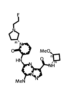 CNc1cc(Nc2cccn([C@@H]3CCN(CCF)C3)c2=O)nc2c(C(=O)N[C@H]3CC[C@@H]3OC)cnn12